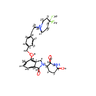 O=C1CCC(N2Cc3c(OCc4ccc(CN5CCC(F)(F)CC5)cc4)cccc3C2=O)C(=O)N1